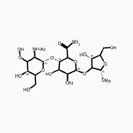 CO[C@H]1OC(CO)[C@@H](O)C1O[C@@H]1OC(C(N)=O)[C@@H](O[C@@H]2OC(CO)[C@@H](O)C(OO)C2NC(C)=O)C(O)C1O